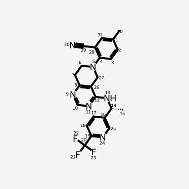 Cc1ccc(N2CCc3ncnc(N[C@H](C)c4ccc(C(F)(F)F)nc4)c3C2)c(C#N)c1